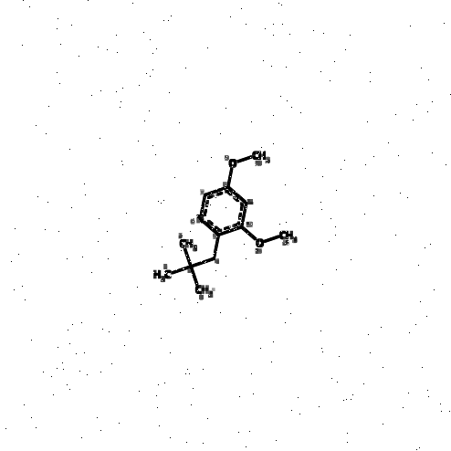 [CH2]C(C)(C)Cc1ncc(OC)cc1OC